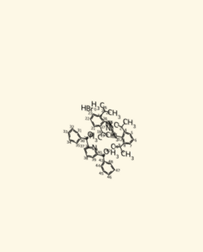 Br.CC(C)c1cccc(C(C)C)c1[N]=[Ni]=[N]c1c(C(C)C)cccc1C(C)C.O=C(c1ccccc1)c1cccc(C(=O)c2ccccc2)n1